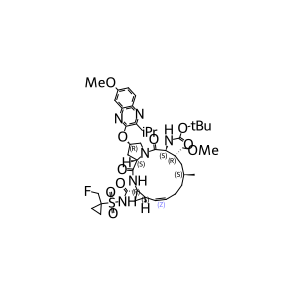 COC[C@@H]1C[C@@H](C)CC/C=C\[C@@H]2C[C@@]2(C(=O)NS(=O)(=O)C2(CF)CC2)NC(=O)[C@@H]2C[C@@H](Oc3nc4cc(OC)ccc4nc3C(C)C)CN2C(=O)[C@H]1NC(=O)OC(C)(C)C